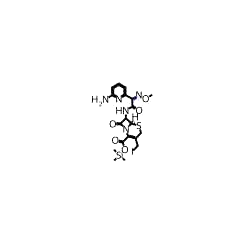 CO/N=C(\C(=O)NC1C(=O)N2C(C(=O)O[Si](C)(C)C)=C(CI)CS[C@H]12)c1cccc(N)n1